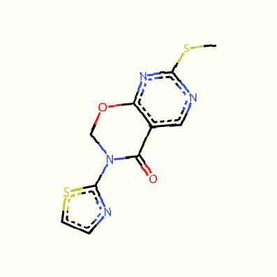 CSc1ncc2c(n1)OCN(c1nccs1)C2=O